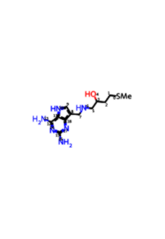 CSCCC(O)CNCc1c[nH]c2c(N)nc(N)nc12